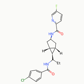 CCC(NC(=O)c1ccc(Cl)cc1)[C@H]1[C@@H]2C[C@@H](NC(=O)c3ccc(F)cn3)C[C@@H]21